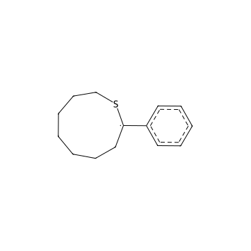 c1ccc([C]2CCCCCCCS2)cc1